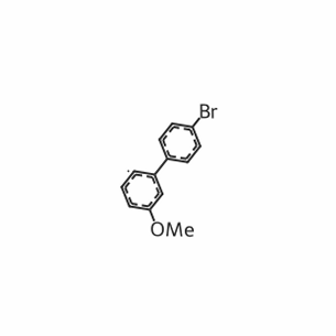 COc1cc[c]c(-c2ccc(Br)cc2)c1